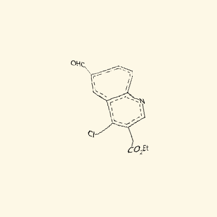 CCOC(=O)c1cnc2ccc(C=O)cc2c1Cl